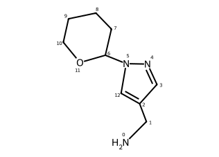 NCc1cnn(C2CCCCO2)c1